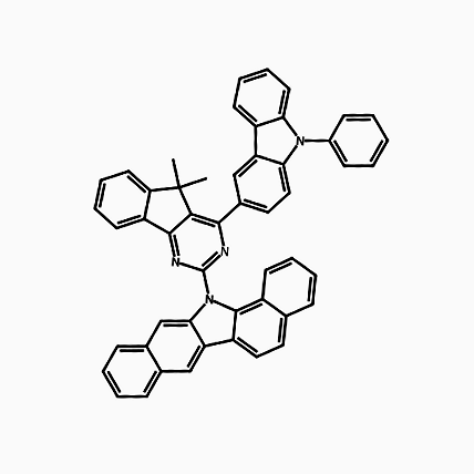 CC1(C)c2ccccc2-c2nc(-n3c4cc5ccccc5cc4c4ccc5ccccc5c43)nc(-c3ccc4c(c3)c3ccccc3n4-c3ccccc3)c21